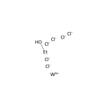 CCO.[Cl-].[Cl-].[Cl-].[Cl-].[Cl-].[Cl-].[W+6]